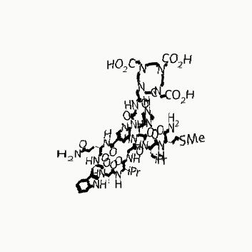 CSCC[C@H](NC(=O)[C@H](CC(C)C)NC(=O)[C@H](Cc1c[nH]cn1)NC(=O)CNC(=O)[C@@H](NC(=O)[C@H](C)NC(=O)[C@H](Cc1c[nH]c2ccccc12)NC(=O)[C@H](CCC(N)=O)NC(=O)c1ccc(NC(=O)CNC(=O)CN2CCN(CC(=O)O)CCN(CC(=O)O)CCN(CC(=O)O)CC2)nc1)C(C)C)C(N)=O